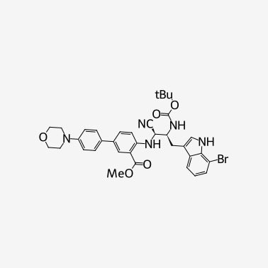 COC(=O)c1cc(-c2ccc(N3CCOCC3)cc2)ccc1N[C@@H](C#N)[C@H](Cc1c[nH]c2c(Br)cccc12)NC(=O)OC(C)(C)C